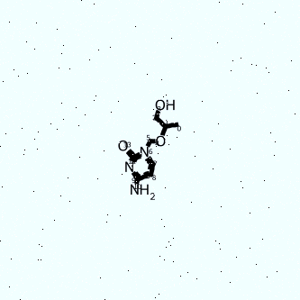 CC(CO)OCn1ccc(N)nc1=O